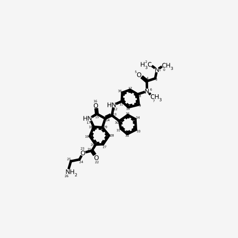 CN(C)CC(=O)N(C)c1ccc(N/C(=C2\C(=O)Nc3cc(C(=O)OCCN)ccc32)c2ccccc2)cc1